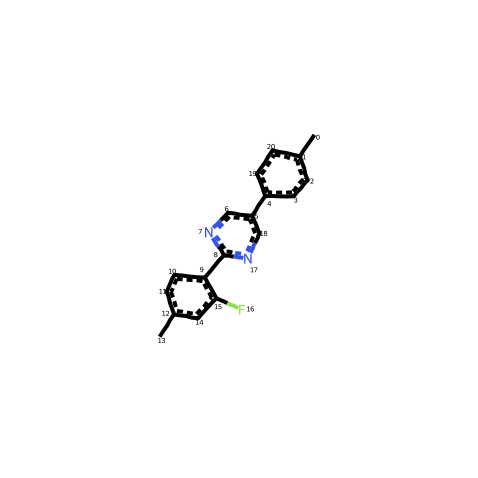 Cc1ccc(-c2cnc(-c3ccc(C)cc3F)nc2)cc1